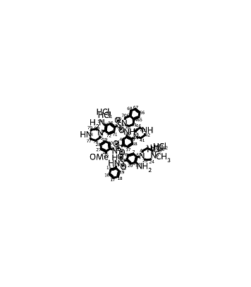 CN1CCCN(c2ccc(S(=O)(=O)Nc3ccccc3)cc2N)CC1.COc1ccccc1NS(=O)(=O)c1ccc(N2CCNCC2)c(N)c1.Cl.Cl.Cl.Cl.Cl.Nc1cc(S(=O)(=O)N2CCc3ccccc3C2)ccc1N1CCCNCC1